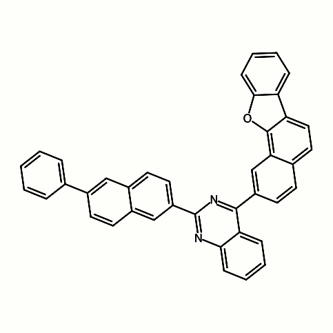 c1ccc(-c2ccc3cc(-c4nc(-c5ccc6ccc7c8ccccc8oc7c6c5)c5ccccc5n4)ccc3c2)cc1